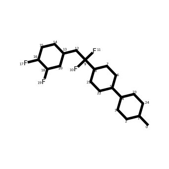 CC1CCC(C2CCC(C(F)(F)CC3CCC(F)C(F)C3)CC2)CC1